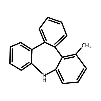 Cc1cccc2c1-c1ccccc1-c1ccccc1N2